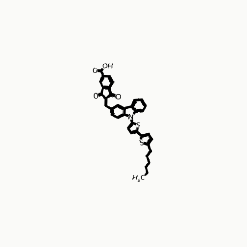 CCCCCCc1ccc(-c2ccc(-n3c4ccccc4c4cc(C=C5C(=O)c6ccc(C(=O)O)cc6C5=O)ccc43)s2)s1